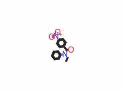 CCN(C(=O)c1ccc([N+](=O)[O-])cc1)c1ccccc1